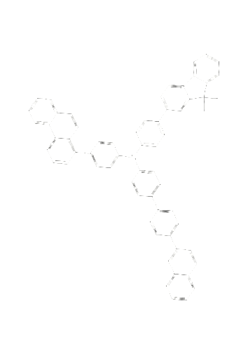 CC1(C)c2ccccc2-c2ccc(-c3ccc(N(c4ccc(-c5ccc(-c6ccc7ccccc7c6)cc5)cc4)c4ccc(-c5cccc6c5ccc5ccccc56)cc4)cc3)cc21